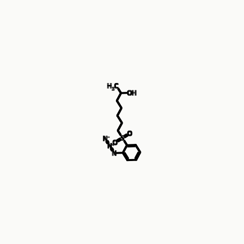 CC(O)CCCCCS(=O)(=O)c1ccccc1N=[N+]=[N-]